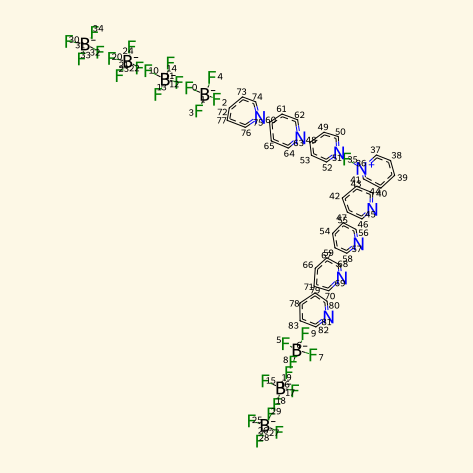 F[B-](F)(F)F.F[B-](F)(F)F.F[B-](F)(F)F.F[B-](F)(F)F.F[B-](F)(F)F.F[B-](F)(F)F.F[B-](F)(F)F.F[n+]1ccccc1.c1ccncc1.c1ccncc1.c1ccncc1.c1ccncc1.c1ccncc1.c1ccncc1.c1ccncc1